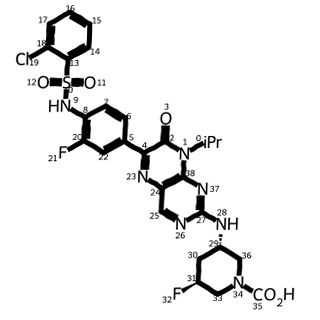 CC(C)n1c(=O)c(-c2ccc(NS(=O)(=O)c3ccccc3Cl)c(F)c2)nc2cnc(N[C@H]3C[C@H](F)CN(C(=O)O)C3)nc21